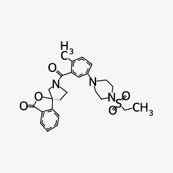 CCS(=O)(=O)N1CCN(c2ccc(C)c(C(=O)N3CC[C@@]4(C3)OC(=O)c3ccccc34)c2)CC1